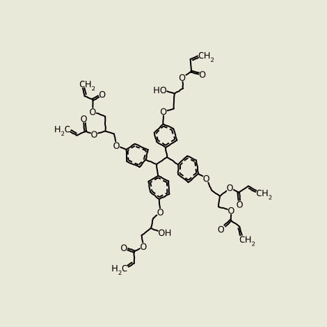 C=CC(=O)OCC(O)COc1ccc(C(c2ccc(OCC(COC(=O)C=C)OC(=O)C=C)cc2)C(c2ccc(OCC(O)COC(=O)C=C)cc2)c2ccc(OCC(COC(=O)C=C)OC(=O)C=C)cc2)cc1